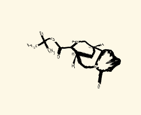 CCC(C)(C)OC(=O)C1NC[C@H]2C[C@@H]1Cn1c2cccc1=O